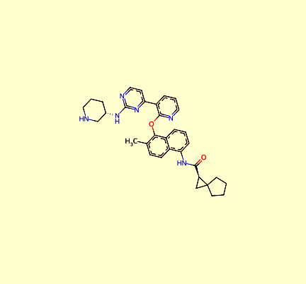 Cc1ccc2c(NC(=O)[C@@H]3CC34CCCC4)cccc2c1Oc1ncccc1-c1ccnc(N[C@H]2CCCNC2)n1